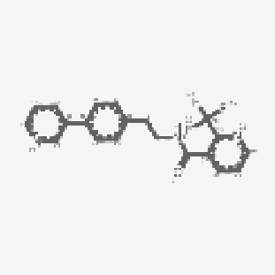 O=C(NCCc1ccc(-c2cccnc2)cc1)c1cccnc1C(F)(F)F